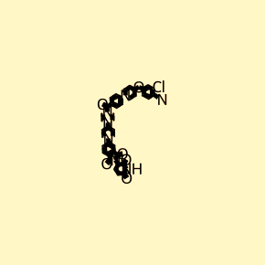 N#Cc1ccc(OC2CCN(c3ccc(C(=O)N4CCN(C5CCN(c6ccc7c(c6)C(=O)N(C6CCC(=O)NC6=O)C7=O)CC5)CC4)cc3)CC2)cc1Cl